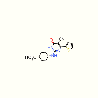 N#Cc1c(-c2cccs2)nc(NC2CCC(C(=O)O)CC2)[nH]c1=O